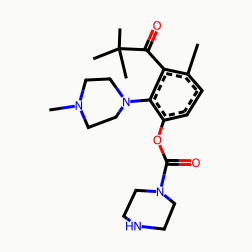 Cc1ccc(OC(=O)N2CCNCC2)c(N2CCN(C)CC2)c1C(=O)C(C)(C)C